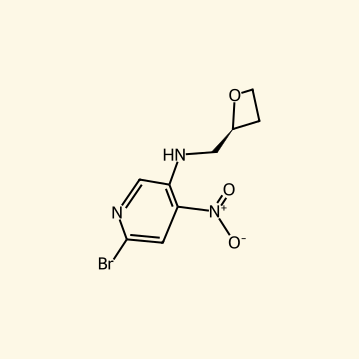 O=[N+]([O-])c1cc(Br)ncc1NC[C@@H]1CCO1